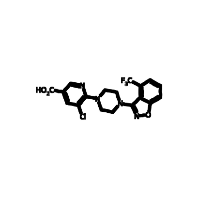 O=C(O)c1cnc(N2CCN(c3noc4cccc(C(F)(F)F)c34)CC2)c(Cl)c1